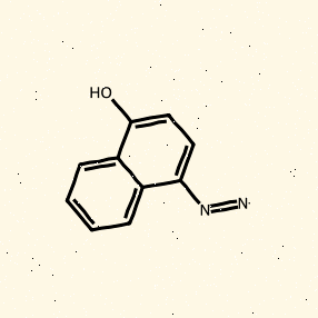 [N]=Nc1ccc(O)c2ccccc12